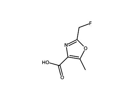 Cc1oc(CF)nc1C(=O)O